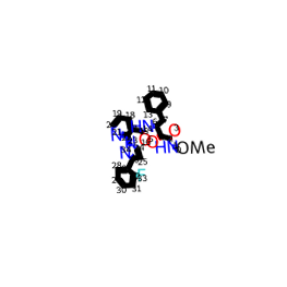 CONC(=O)C(=O)C(Cc1ccccc1)NC(=O)c1cccnc1-n1ccc(-c2ccccc2F)n1